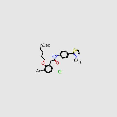 CCCCCCCCCCCCCCOc1c(CC(=O)Nc2ccc(-c3scc[n+]3C)cc2)cccc1C(C)=O.[Cl-]